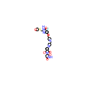 O=C1CCC(N2C(=O)c3ccc(N4CCC(CN5CCC(COc6cc(F)c7c(=O)[nH]c(CSC8CCOCC8)nc7c6)CC5)CC4)cc3C2=O)C(=O)N1